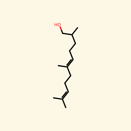 CC(C)=CCC/C(C)=C/CCC(C)CO